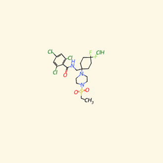 CCS(=O)(=O)N1CCN(C2(CNC(=O)c3c(Cl)cc(Cl)cc3Cl)CCC(F)(F)CC2)CC1.Cl